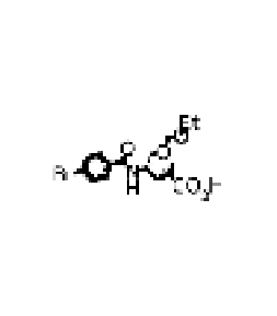 CCOCOC[C@H](C[C@H](C)C(=O)O)NC(=O)c1ccc(Br)cc1